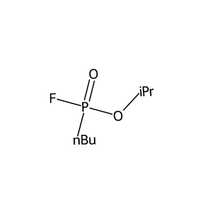 CCCCP(=O)(F)OC(C)C